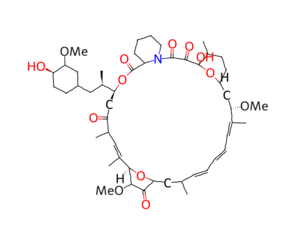 COC1CC(C[C@@H](C)[C@@H]2CC(=O)C(C)/C=C(\C)[C@H]3OC(CC(C)/C=C/C=C/C=C(\C)[C@@H](OC)C[C@@H]4CCC(C)C(O)(O4)C(=O)C(=O)N4CCCCC4C(=O)O2)C(=O)C3OC)CC[C@H]1O